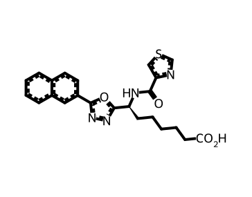 O=C(O)CCCCC[C@H](NC(=O)c1cscn1)c1nnc(-c2ccc3ccccc3c2)o1